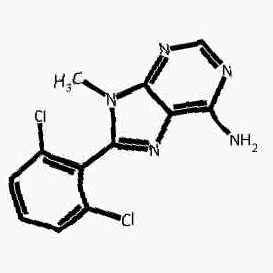 Cn1c(-c2c(Cl)cccc2Cl)nc2c(N)ncnc21